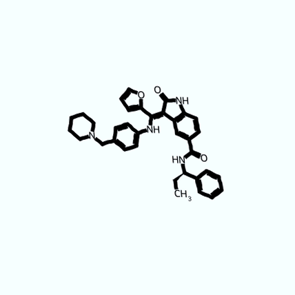 CC[C@@H](NC(=O)c1ccc2c(c1)C(=C(Nc1ccc(CN3CCCCC3)cc1)c1ccco1)C(=O)N2)c1ccccc1